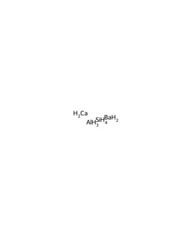 [AlH3].[BaH2].[CaH2].[SiH4]